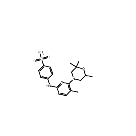 CC1CN(c2nc(Nc3ccc(S(N)(=O)=O)cc3)ncc2F)CC(C)(C)O1